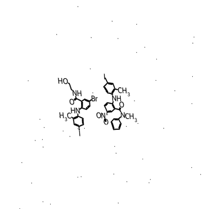 Cc1cc(I)ccc1Nc1ccc(Br)cc1C(=O)NCCO.Cc1cc(I)ccc1Nc1ccc([N+](=O)[O-])cc1C(=O)N(C)c1ccccc1